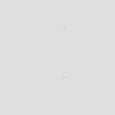 CC1(C(=O)Nc2ccc(-c3csc(C(=O)O)n3)cc2)CCCC1